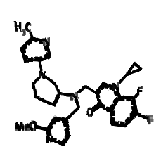 COc1cc(CN(Cc2cn(C3CC3)c3c(F)c(F)ccc3c2=O)[C@H]2CCCN(c3ccc(C)nc3)C2)ccn1